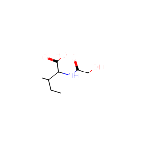 CCC(C)C(NC(=O)CO)C(=O)O